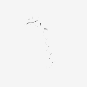 CC(C)CCCCCCOC(=O)c1ccc(C(=O)O)o1